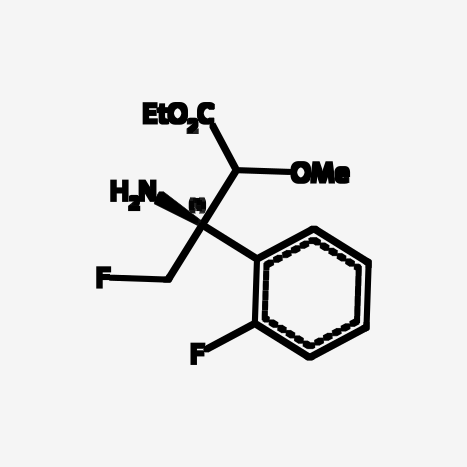 CCOC(=O)C(OC)[C@@](N)(CF)c1ccccc1F